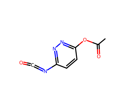 CC(=O)Oc1ccc(N=C=O)nn1